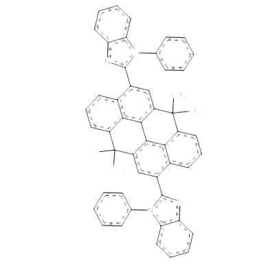 CC1(C)c2cc(-c3nc4ccccc4n3-c3ccccc3)c3cccc4c3c2-c2c(cc(-c3nc5ccccc5n3-c3ccccc3)c3cccc1c23)C4(C)C